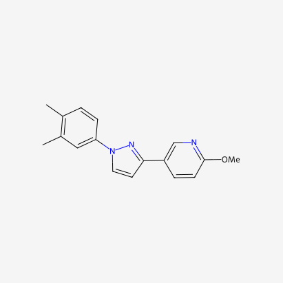 COc1ccc(-c2ccn(-c3ccc(C)c(C)c3)n2)cn1